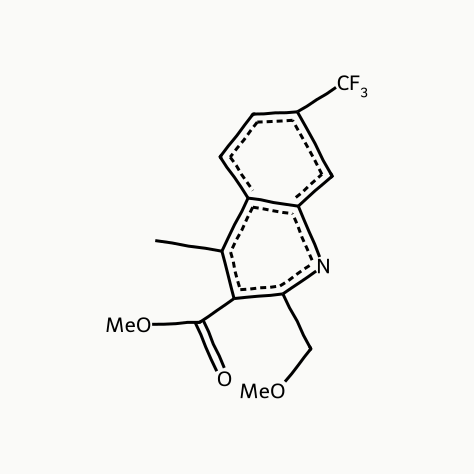 COCc1nc2cc(C(F)(F)F)ccc2c(C)c1C(=O)OC